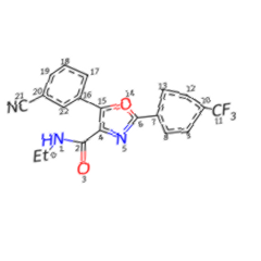 CCNC(=O)c1nc(-c2ccc(C(F)(F)F)cc2)oc1-c1cccc(C#N)c1